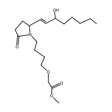 CCCCCC(O)C=CC1CCC(=O)N1CCCCOCC(=O)OC